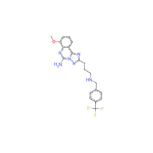 COc1cccc2c1nc(N)n1nc(CCCNCc3ccc(C(F)(F)F)cc3)nc21